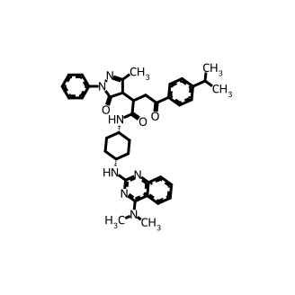 CC1=NN(c2ccccc2)C(=O)C1C(CC(=O)c1ccc(C(C)C)cc1)C(=O)N[C@H]1CC[C@@H](Nc2nc(N(C)C)c3ccccc3n2)CC1